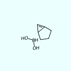 C1=C2CCCC12.OBO